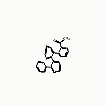 COC(=O)c1ccccc1-c1ccccc1-c1ccccc1-c1ccccc1